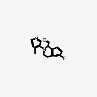 Cc1ccncc1N1CCc2cc(F)ccc2C1C=O